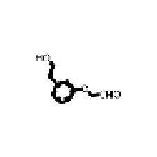 O=CCOc1cccc(CCO)c1